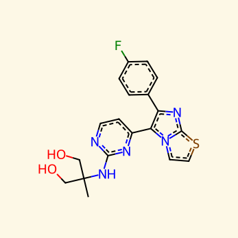 CC(CO)(CO)Nc1nccc(-c2c(-c3ccc(F)cc3)nc3sccn23)n1